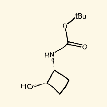 CC(C)(C)OC(=O)N[C@@H]1CC[C@@H]1O